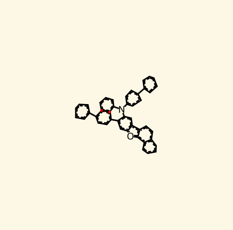 c1ccc(-c2ccc(-c3cc4oc5c6ccccc6ccc5c4cc3N(c3ccccc3)c3ccc(-c4ccccc4)cc3)cc2)cc1